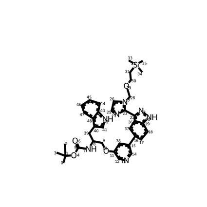 CC(C)(C)OC(=O)NC(COc1cncc(-c2ccc3[nH]nc(-c4nccn4COCC[Si](C)(C)C)c3c2)c1)Cc1c[nH]c2ccccc12